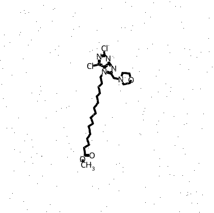 COC(=O)CCCCCCCCCCCCCCCn1c(CN2CCOCC2)nc2nc(Cl)nc(Cl)c21